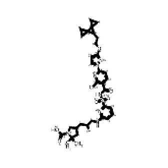 CC1(C)CC(CC(F)CNc2cccc(S(=O)(=O)NC(=O)c3ccc(-n4ccc(OCCC5C6(CC6)C56CC6)n4)nc3Cl)n2)CN1C(=O)O